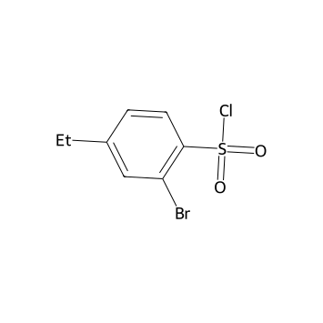 CCc1ccc(S(=O)(=O)Cl)c(Br)c1